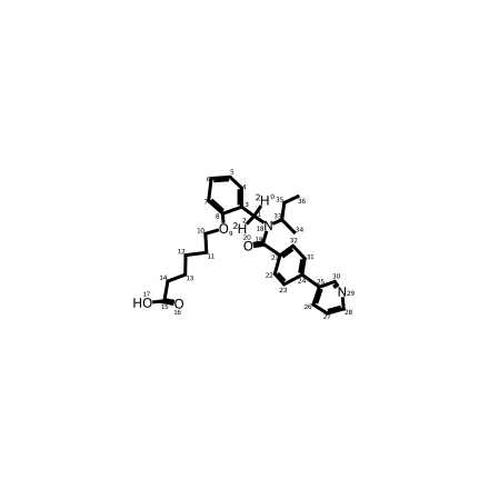 [2H]C([2H])(c1ccccc1OCCCCCC(=O)O)N(C(=O)c1ccc(-c2cccnc2)cc1)C(C)CC